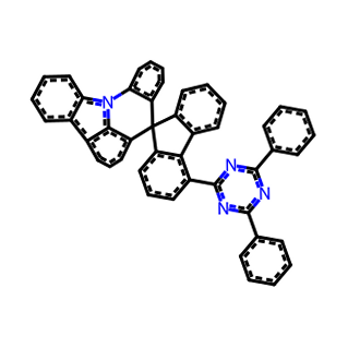 c1ccc(-c2nc(-c3ccccc3)nc(-c3cccc4c3-c3ccccc3C43c4ccccc4-n4c5ccccc5c5cccc3c54)n2)cc1